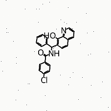 O=C(NC(c1ccccc1)c1ccc2cccnc2c1O)c1ccc(Cl)cc1